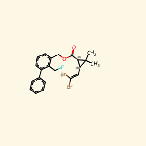 CC1(C)[C@H](C(=O)OCc2cccc(-c3ccccc3)c2CF)[C@@H]1C=C(Br)Br